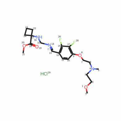 COCCN(C)CCOc1ccc(/C=N/CNC2(C(=O)OC)CCC2)c(F)c1F.Cl